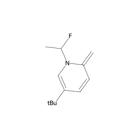 C=C1C=CC(C(C)(C)C)=CN1C(C)F